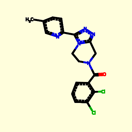 Cc1ccc(-c2nnc3n2CCN(C(=O)c2cccc(Cl)c2Cl)C3)nc1